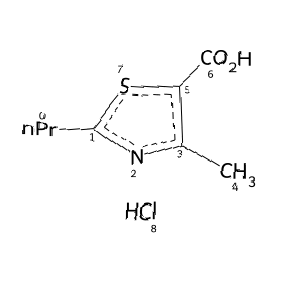 CCCc1nc(C)c(C(=O)O)s1.Cl